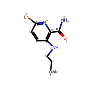 COCCNc1ccc(Br)nc1C(N)=O